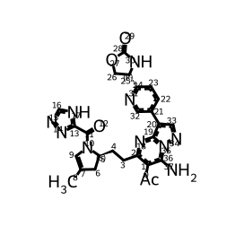 CC(=O)c1c(CC[C@H]2CC(C)=CN2C(=O)c2nnc[nH]2)nc2c(-c3ccc([C@@H]4COC(=O)N4)nc3)cnn2c1N